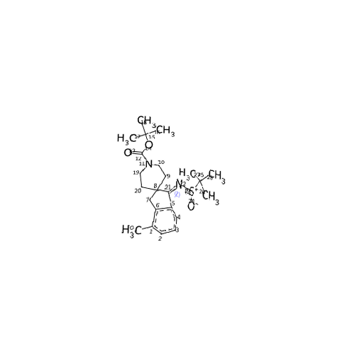 Cc1cccc2c1CC1(CCN(C(=O)OC(C)(C)C)CC1)/C2=N/[S@+]([O-])C(C)(C)C